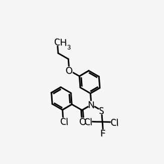 CCCOc1cccc(N(SC(F)(Cl)Cl)C(=O)c2ccccc2Cl)c1